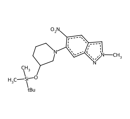 Cn1cc2cc([N+](=O)[O-])c(N3CCCC(O[Si](C)(C)C(C)(C)C)C3)cc2n1